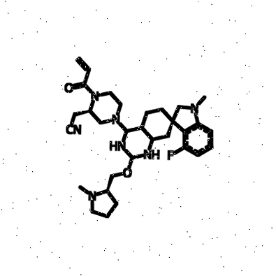 C=CC(=O)N1CCN(C2NC(OC[C@H]3CCCN3C)NC3C[C@@]4(CCC32)CN(C)c2cccc(F)c24)C[C@H]1CC#N